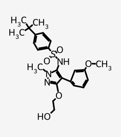 COc1cccc(-c2c(OCCO)nn(C)c2NS(=O)(=O)c2ccc(C(C)(C)C)cc2)c1